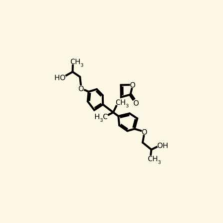 CC(O)COc1ccc(C(C)(C)c2ccc(OCC(C)O)cc2)cc1.O=C1C=CO1